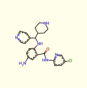 Nc1ccc(NC(c2ccncc2)C2CCNCC2)c(C(=O)Nc2ccc(Cl)cn2)c1